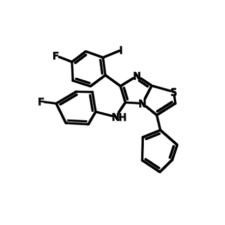 Fc1ccc(Nc2c(-c3ccc(F)cc3I)nc3scc(-c4ccccc4)n23)cc1